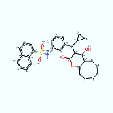 O=C1OC2=CC=CCCCC2C(O)C1C(c1cccc(NS(=O)(=O)c2cccc3ccccc23)c1)C1CC1